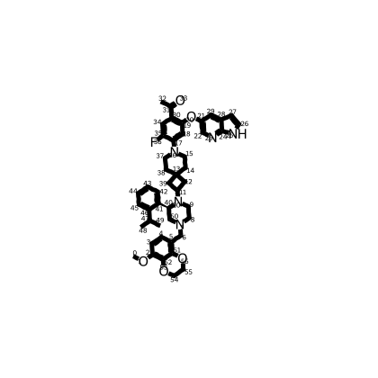 COc1ccc(CN2CCN(C3CC4(CCN(c5cc(Oc6cnc7[nH]ccc7c6)c(C(C)=O)cc5F)CC4)C3)[C@H](c3ccccc3C(C)C)C2)c2c1OCCO2